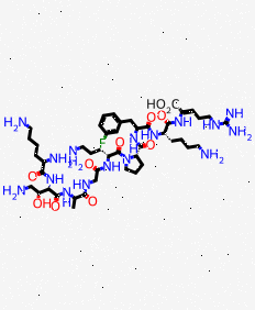 CC(NC(=O)[C@@H](NC(=O)C(N)CCCCN)C(O)CN)C(=O)NCC(=O)N[C@H](CCCN)C(=O)N1CCC[C@H]1C(=O)NC(Cc1cccc(F)c1)C(=O)N[C@@H](CCCCN)C(=O)N/C(=C\CCNC(=N)N)C(=O)O